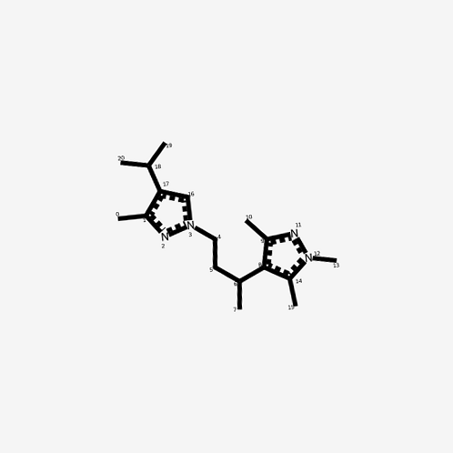 Cc1nn(CCC(C)c2c(C)nn(C)c2C)cc1C(C)C